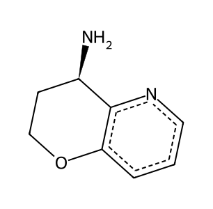 N[C@@H]1CCOc2cccnc21